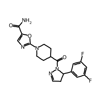 NC(=O)c1cnc(N2CCC(C(=O)N3N=CCC3c3cc(F)cc(F)c3)CC2)o1